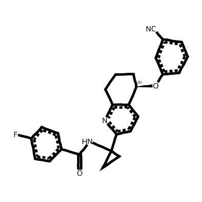 N#Cc1cccc(O[C@@H]2CCCc3nc(C4(NC(=O)c5ccc(F)cc5)CC4)ccc32)c1